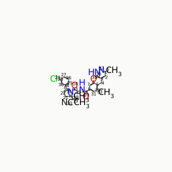 Cc1cc(Cc2ccc(C(=O)NCC(=O)N3C(C(C)(C)C#N)CC[C@H]3c3cccc(Cl)c3)cc2C)c(=O)[nH]n1